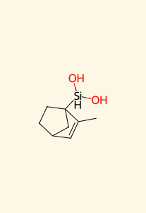 CC1=CC2CCC1([SiH](O)O)C2